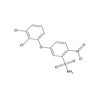 NS(=O)(=O)c1cc(Oc2cccc(Cl)c2Cl)ccc1[N+](=O)[O-]